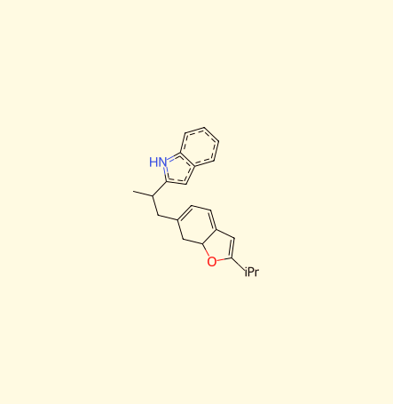 CC(C)C1=CC2=CC=C(CC(C)c3cc4ccccc4[nH]3)CC2O1